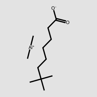 CC(C)(C)CCCCCC(=O)[O-].[CH3][Al+][CH3]